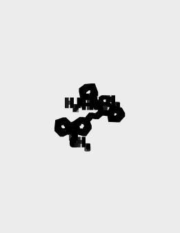 C=C(Nc1ccccc1N)C(CCc1ccc2c(c1)c1ccccc1n2C)c1ccccc1C